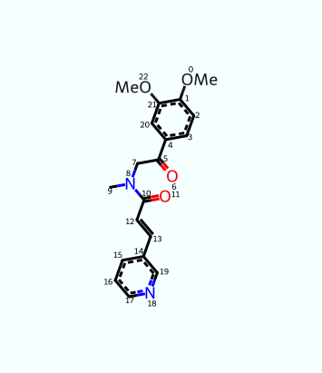 COc1ccc(C(=O)CN(C)C(=O)C=Cc2cccnc2)cc1OC